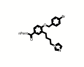 CCCCCC(=O)c1ccc(OCc2ccc(Br)cc2)c(CCCCn2ccnc2)c1